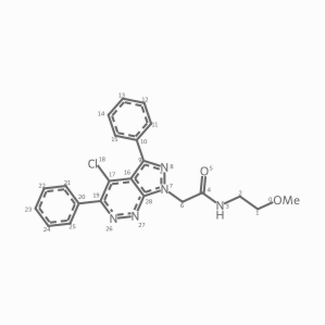 COCCNC(=O)Cn1nc(-c2ccccc2)c2c(Cl)c(-c3ccccc3)nnc21